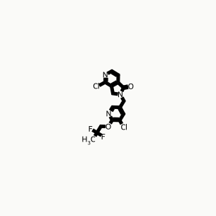 CC(F)(F)COc1ncc(CN2Cc3c(ccnc3Cl)C2=O)cc1Cl